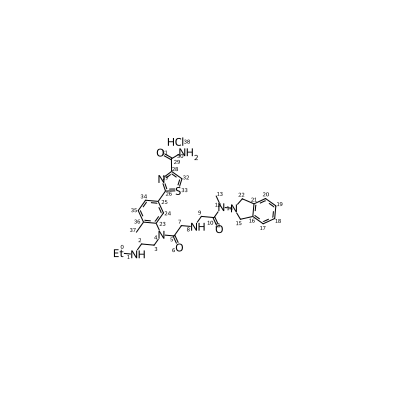 CCNCCN(C(=O)CNCC(=O)N(C)N1Cc2ccccc2C1)c1cc(-c2nc(C(N)=O)cs2)ccc1C.Cl